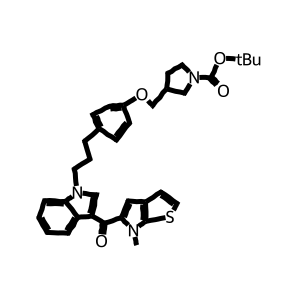 Cn1c(C(=O)c2cn(CCCc3ccc(OCC4CCN(C(=O)OC(C)(C)C)C4)cc3)c3ccccc23)cc2ccsc21